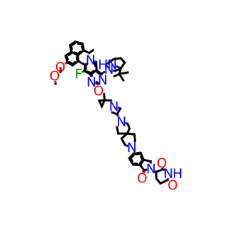 CCc1cccc2cc(OCOC)cc(-c3ncc4c(N5CC6CCC(C(C)(C)C)(C5)N6)nc(OCC5(CN6CC(N7CCC8(CCN(c9ccc%10c(c9)CN(C9CCC(=O)NC9=O)C%10=O)CC8)CC7)C6)CC5)nc4c3F)c12